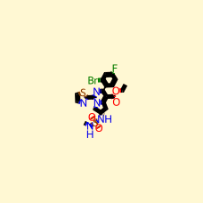 CCOC(=O)C1=C2C[C@@H](NS(=O)(=O)NC)CN2C(c2nccs2)=N[C@H]1c1ccc(F)cc1Br